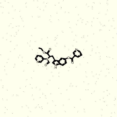 CCOC(=O)C(Cc1c[nH]c2ccc(OC(=O)c3cccnc3)cc12)N(C=O)c1cccnc1